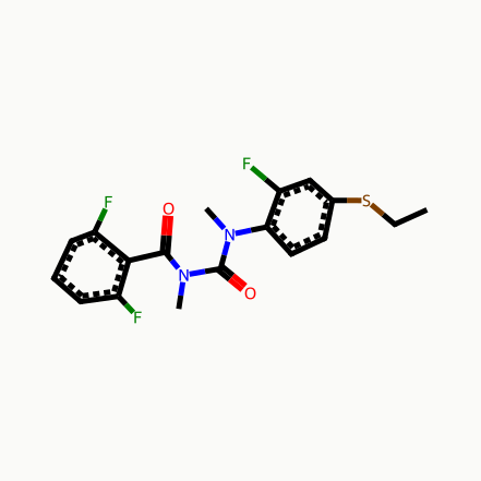 CCSc1ccc(N(C)C(=O)N(C)C(=O)c2c(F)cccc2F)c(F)c1